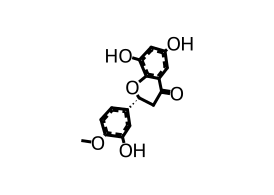 COc1ccc([C@H]2CC(=O)c3cc(O)cc(O)c3O2)cc1O